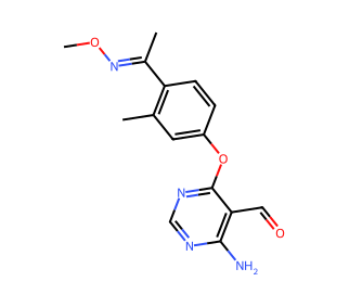 CON=C(C)c1ccc(Oc2ncnc(N)c2C=O)cc1C